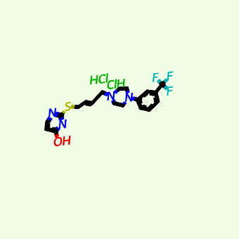 Cl.Cl.Oc1ccnc(SCC=CCN2CCN(c3cccc(C(F)(F)F)c3)CC2)n1